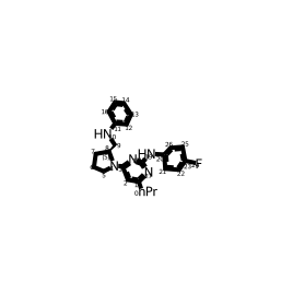 CCCc1cc(N2CCC[C@H]2CNc2ccccc2)nc(Nc2ccc(F)cc2)n1